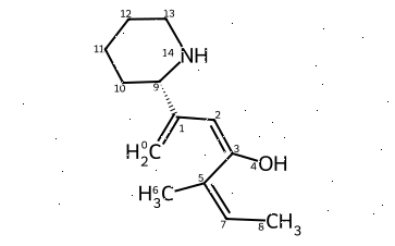 C=C(/C=C(O)\C(C)=C/C)[C@@H]1CCCCN1